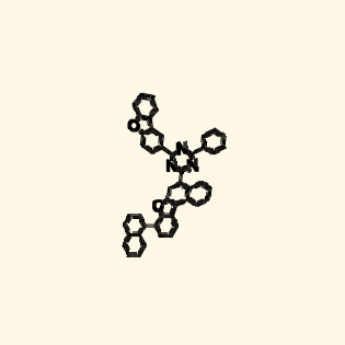 c1ccc(-c2nc(-c3ccc4oc5ccccc5c4c3)nc(-c3cc4oc5c(-c6cccc7ccccc67)cccc5c4c4ccccc34)n2)cc1